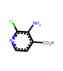 Nc1c(C(=O)O)ccnc1Cl